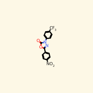 O=c1oc(-c2ccc([N+](=O)[O-])cc2)nn1-c1ccc(C(F)(F)F)cc1